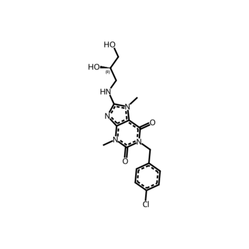 Cn1c(NC[C@@H](O)CO)nc2c1c(=O)n(Cc1ccc(Cl)cc1)c(=O)n2C